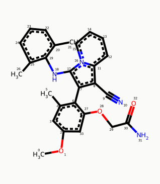 COc1cc(C)c(-c2c(C#N)c3ccccn3c2Nc2c(C)cccc2C)c(OCC(N)=O)c1